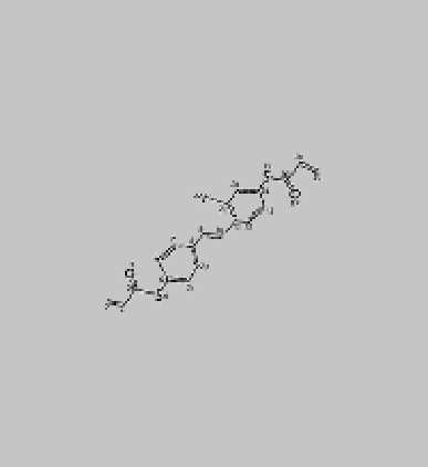 C=CC(=O)Sc1ccc(/C=C/c2ccc(SC(=O)C=C)cc2F)cc1